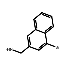 [NH]Cc1cc(Br)c2ccccc2c1